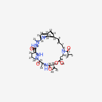 CC(C)C(=O)N1CC/C=C/c2ccc3ccc(nc3c2)N(C)NC(=O)[C@@H]2CCCN(N2)C(=O)[C@H](C)NC(=O)[C@H](C(C)C)OC(=O)CC1